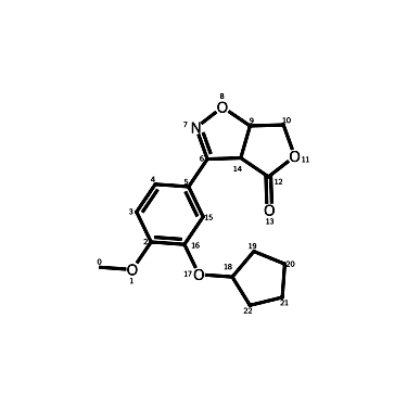 COc1ccc(C2=NOC3COC(=O)C23)cc1OC1CCCC1